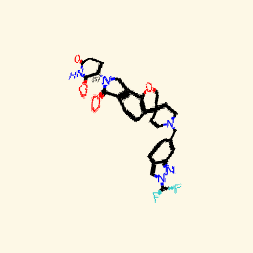 O=C1CC[C@H](N2Cc3c(ccc4c3OCC43CCN(Cc4ccc5cn(C(F)F)nc5c4)CC3)C2=O)C(=O)N1